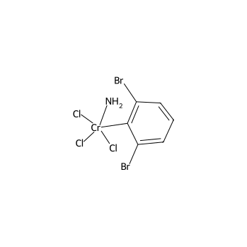 [NH2][Cr]([Cl])([Cl])([Cl])[c]1c(Br)cccc1Br